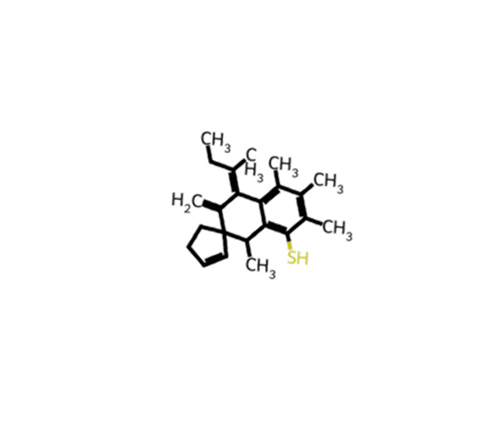 C=C1/C(=C(/C)CC)c2c(C)c(C)c(C)c(S)c2C(C)C12C=CCC2